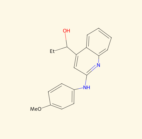 CCC(O)c1cc(Nc2ccc(OC)cc2)nc2ccccc12